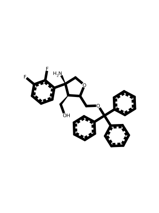 N[C@@]1(c2cccc(F)c2F)COC(COC(c2ccccc2)(c2ccccc2)c2ccccc2)[C@H]1CO